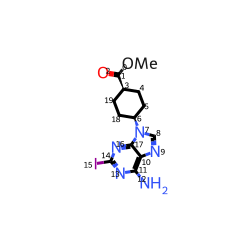 COC(=O)[C@H]1CC[C@@H](n2cnc3c(N)nc(I)nc32)CC1